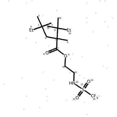 CCC(C)(C)CC(C)(C(=O)OCCNS(=O)(=O)C(F)(F)F)C(C)(C)CC